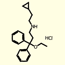 CCOC(CCNCCC1CC1)(c1ccccc1)c1ccccc1.Cl